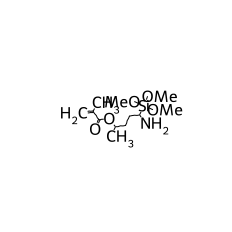 C=C(C)C(=O)OC(C)CCC(N)[Si](OC)(OC)OC